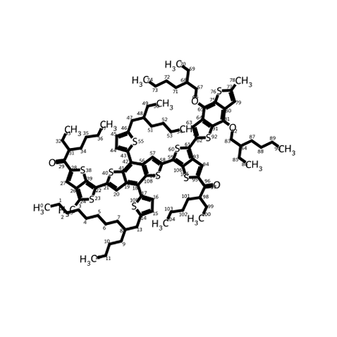 CCCCCCCCC(CCCC)Cc1ccc(-c2c3cc(-c4sc(C)c5cc(C(=O)C(CC)CCCC)sc45)sc3c(-c3ccc(CC(CC)CCCC)s3)c3cc(-c4sc(-c5cc6c(OCC(CC)CCCC)c7sc(C)cc7c(OCC(CC)CCCC)c6s5)c5cc(C(=O)C(CC)CCCC)sc45)sc23)s1